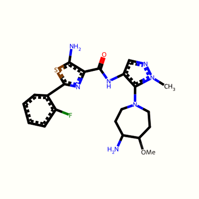 COC1CCN(c2c(NC(=O)c3nc(-c4ccccc4F)sc3N)cnn2C)CCC1N